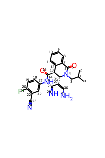 CC(C)CN1C(=O)c2ccccc2[C@H](C(=O)Nc2ccc(F)c(C#N)c2)[C@H]1/C(C=N)=C/N